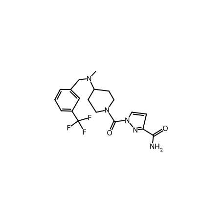 CN(Cc1cccc(C(F)(F)F)c1)C1CCN(C(=O)n2ccc(C(N)=O)n2)CC1